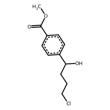 COC(=O)c1ccc(C(O)CCCCl)cc1